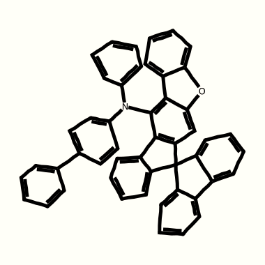 c1ccc(-c2ccc(N(c3ccccc3)c3c4c(cc5oc6ccccc6c35)C3(c5ccccc5-c5ccccc53)c3ccccc3-4)cc2)cc1